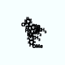 COc1ccc(Cn2nc(Nc3cc(S(C)(=O)=O)ncc3C(=O)c3ccccc3Cl)c([N+](=O)[O-])c2C)cc1